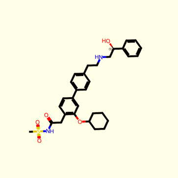 CS(=O)(=O)NC(=O)Cc1ccc(-c2ccc(CCNC[C@@H](O)c3ccccc3)cc2)cc1OC1CCCCC1